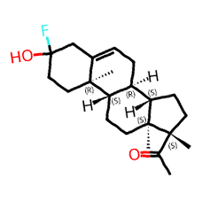 CC(=O)[C@@]1(C)CC[C@H]2[C@@H]3CC=C4CC(O)(F)CC[C@]4(C)[C@H]3CC[C@@]21C